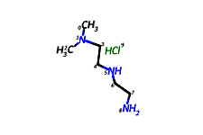 CN(C)CCNCCN.Cl